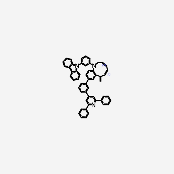 C=C1/C=C\C=C/CN(c2cccc(-n3c4ccccc4c4ccccc43)c2)c2ccc(-c3cccc(-c4cc(-c5ccccc5)nc(-c5ccccc5)c4)c3)cc21